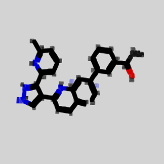 C=c1ccc(-c2c[nH]nc2-c2cccc(C)n2)n/c1=C/C(=C\C)c1cccc(C(=O)OC)c1